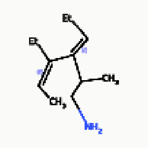 C/C=C(CC)\C(=C/CC)C(C)CN